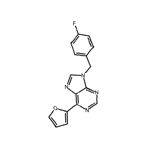 Fc1ccc(Cn2cnc3c(-c4ccco4)ncnc32)cc1